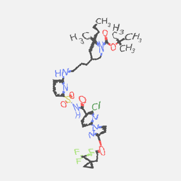 CCCC1(C)CC(CCCNc2cccc(S(=O)(=O)NC(=O)c3ccc(-n4ccc(OCCC5(C(F)(F)F)CC5)n4)nc3Cl)n2)CN1C(=O)OC(C)(C)C